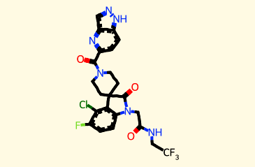 O=C(CN1C(=O)C2(CCN(C(=O)c3ccc4[nH]ncc4n3)CC2)c2c1ccc(F)c2Cl)NCC(F)(F)F